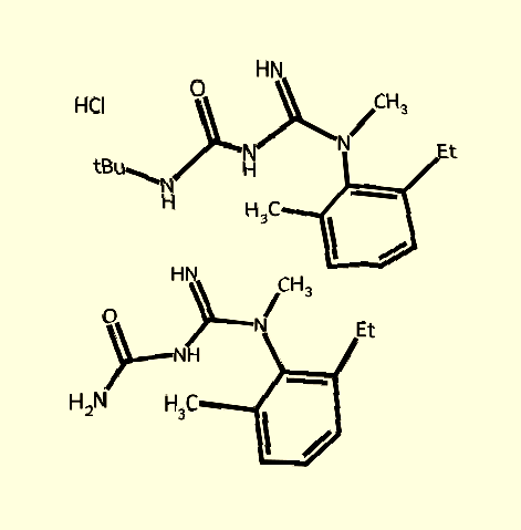 CCc1cccc(C)c1N(C)C(=N)NC(=O)NC(C)(C)C.CCc1cccc(C)c1N(C)C(=N)NC(N)=O.Cl